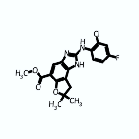 COC(=O)c1cc2nc(Nc3ccc(F)cc3Cl)[nH]c2c2c1OC(C)(C)C2